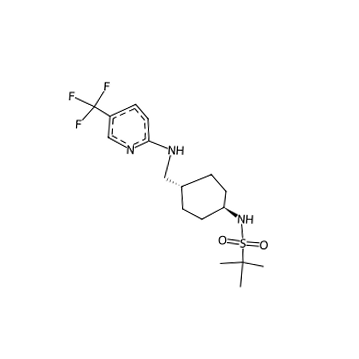 CC(C)(C)S(=O)(=O)N[C@H]1CC[C@H](CNc2ccc(C(F)(F)F)cn2)CC1